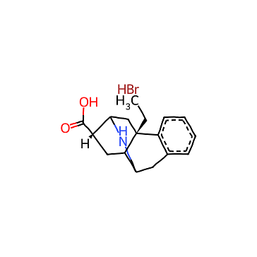 Br.CC[C@@]12CC3NC(Cc4ccccc41)C2C[C@@H]3C(=O)O